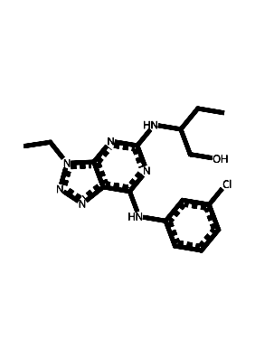 CCC(CO)Nc1nc(Nc2cccc(Cl)c2)c2nnn(CC)c2n1